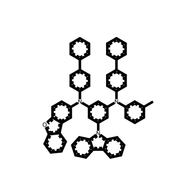 Cc1cccc(N(c2ccc(-c3ccccc3)cc2)c2cc(N(c3ccc(-c4ccccc4)cc3)c3ccc4oc5ccccc5c4c3)cc(-n3c4ccccc4c4ccccc43)c2)c1